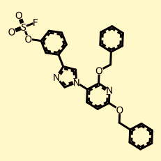 O=S(=O)(F)Oc1cccc(-c2cn(-c3ccc(OCc4ccccc4)nc3OCc3ccccc3)cn2)c1